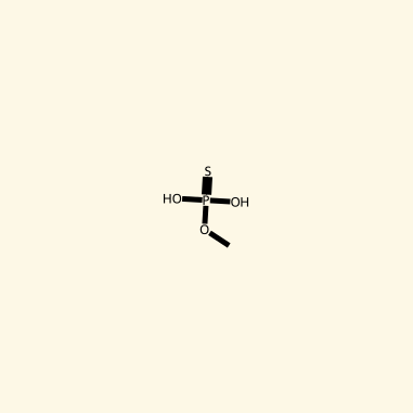 COP(O)(O)=S